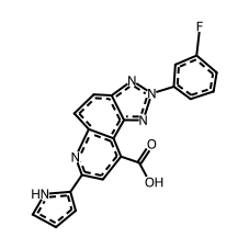 O=C(O)c1cc(-c2ccc[nH]2)nc2ccc3nn(-c4cccc(F)c4)nc3c12